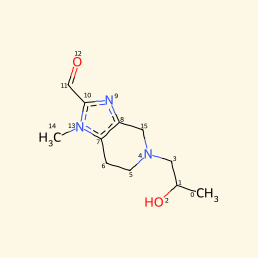 CC(O)CN1CCc2c(nc(C=O)n2C)C1